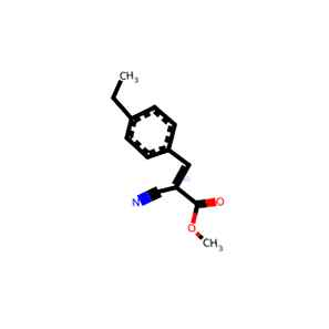 CCc1ccc(/C=C(\C#N)C(=O)OC)cc1